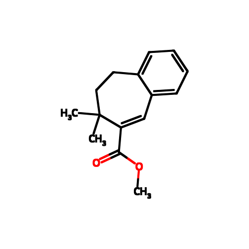 COC(=O)C1=Cc2ccccc2CCC1(C)C